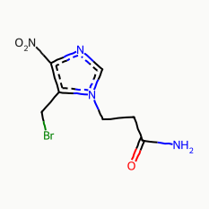 NC(=O)CCn1cnc([N+](=O)[O-])c1CBr